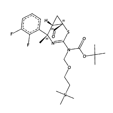 CC(C)(C)OC(=O)N(COCC[Si](C)(C)C)C1=N[C@](C)(c2cccc(F)c2F)[C@@H]2C[C@]2(C=O)S1